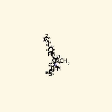 CCn1c(=O)c(=CNc2ccc(CCN3CCCC3)cc2)s/c1=C(/C#N)C(=O)NCC(F)(F)F